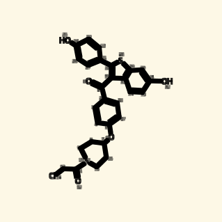 O=C(c1ccc(OC2CCN(C(=O)CCl)CC2)cc1)c1c(-c2ccc(O)cc2)sc2cc(O)ccc12